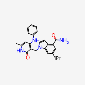 Cc1cc(Nc2ccccc2)c(Cn2ccc3c(C(N)=O)cc(C(C)C)cc32)c(=O)[nH]1